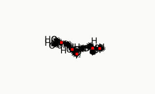 O=C(NC(c1ccccc1)c1cccc(OCc2ccc(C(=O)OCCN(Cc3ccc(F)cc3)C(=O)Nc3ccc(CNCC(O)c4ccc(O)c5[nH]c(=O)ccc45)cc3)cc2)c1)O[C@H]1CN2CCC1CC2